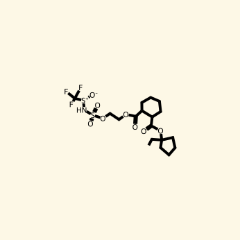 CCC1(OC(=O)C2CCCCC2C(=O)OCCOS(=O)(=O)N[S+]([O-])C(F)(F)F)CCCC1